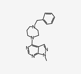 Cn1ncc2c(N3CCCN(Cc4ccccc4)CC3)ncnc21